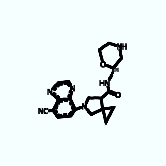 N#Cc1ccc(N2CC(C(=O)NC[C@H]3CNCCO3)C3(CC3)C2)c2nccnc12